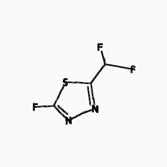 Fc1nnc(C(F)F)s1